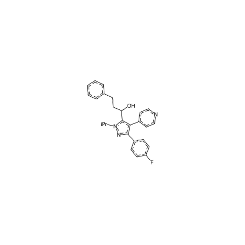 CC(C)n1nc(-c2ccc(F)cc2)c(-c2ccncc2)c1C(O)CCc1ccccc1